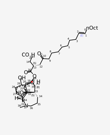 CCCCCCCC/C=C/CCCCCCCC(=O)C[C@@H](CC(=O)O)C(=O)OC1=CC[C@@]2(O)[C@H]3Cc4ccc(O)c5c4[C@@]2(CCCN3C)[C@H]1O5